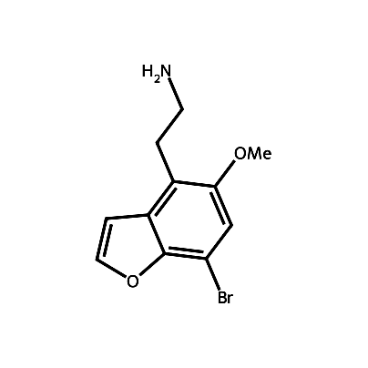 COc1cc(Br)c2occc2c1CCN